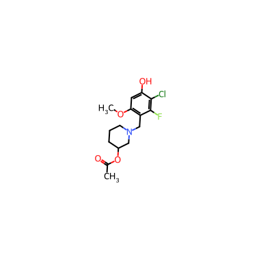 COc1cc(O)c(Cl)c(F)c1CN1CCCC(OC(C)=O)C1